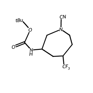 CC(C)(C)OC(=O)NC1CC(C(F)(F)F)CCN(C#N)C1